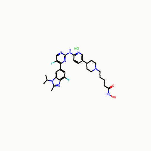 Cc1nc2c(F)cc(-c3nc(Nc4ccc(C5CCN(CCCCC(=O)NO)CC5)cn4)ncc3F)cc2n1C(C)C.Cl